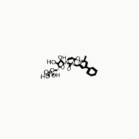 Cc1cc(-c2ccccc2)cc(Cn2c(=O)ccn([C@@H]3O[C@H](COP(=O)(O)O)C(O)C3O)c2=O)n1